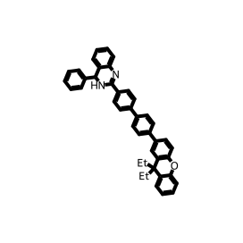 CCC1(CC)c2ccccc2Oc2ccc(-c3ccc(-c4ccc(C5=Nc6ccccc6C(c6ccccc6)N5)cc4)cc3)cc21